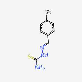 CC(C)c1ccc(C=NNC(N)=S)cc1